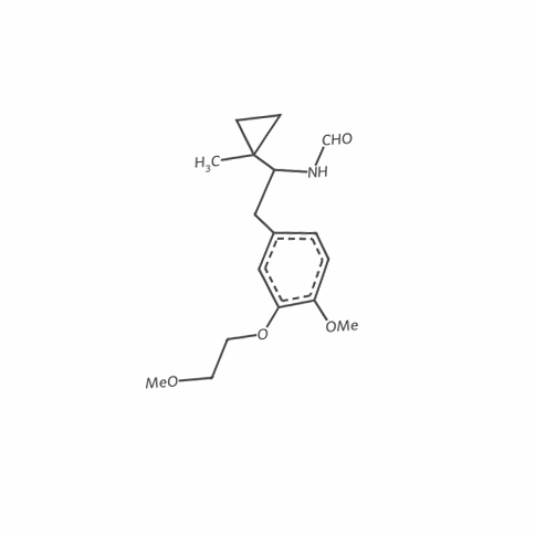 COCCOc1cc(CC(NC=O)C2(C)CC2)ccc1OC